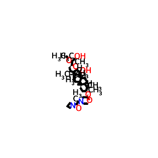 CCO[C@@H]([C@H]1C[C@@H](C)[C@H]2[C@H](O1)[C@H](O)[C@@]1(C)[C@@H]3CC[C@H]4C(C)(C)C(O[C@H]5CN([C@H](C)C(=O)N6CCC6)CCO5)CC[C@@]45C[C@@]35CC[C@]21C)C(C)(C)O